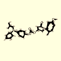 COc1ccc(C)c(N2CC(OC(=O)Nc3ccc(N(CC(C)C)c4ccccc4)cc3)CC2=O)c1